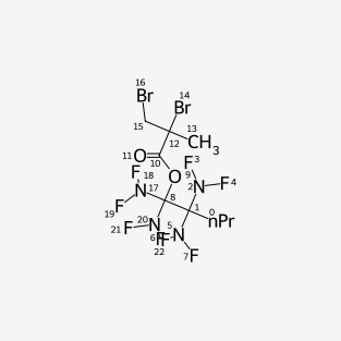 CCCC(N(F)F)(N(F)F)C(OC(=O)C(C)(Br)CBr)(N(F)F)N(F)F